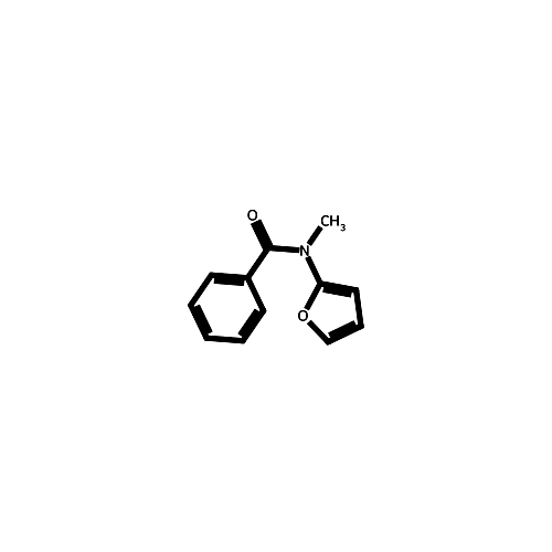 CN(C(=O)c1ccccc1)c1ccco1